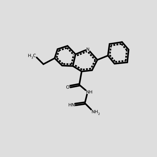 CCc1ccc2nc(-c3ccccc3)cc(C(=O)NC(=N)N)c2c1